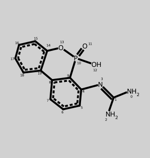 NC(N)=Nc1cccc2c1P(=O)(O)Oc1ccccc1-2